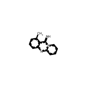 Cc1cccc2nc3ccccn3c(=N)c12